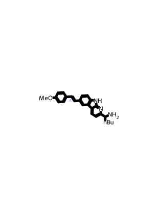 CCCCC(N)c1ccc2c(n1)[nH]c1ccc(/C=C/c3ccc(OC)cc3)cc12